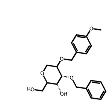 COc1ccc(COC2COC(CO)[C@@H](O)[C@H]2OCc2ccccc2)cc1